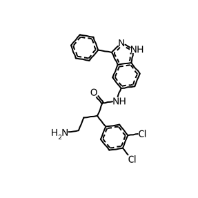 NCCC(C(=O)Nc1ccc2[nH]nc(-c3ccccc3)c2c1)c1ccc(Cl)c(Cl)c1